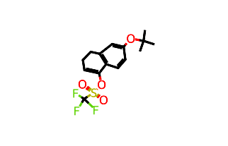 CC(C)(C)Oc1ccc2c(c1)CCC=C2OS(=O)(=O)C(F)(F)F